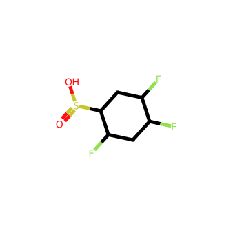 O=S(O)C1CC(F)C(F)CC1F